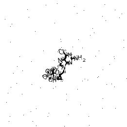 CC(C)C(OC1(Cn2cnc3c(Cl)nc(N)nc32)CC1)(C(C)C)P(=O)(O)O